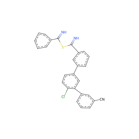 N#Cc1cccc(-c2cc(-c3cccc(C(=N)SC(=N)c4ccccc4)c3)ccc2Cl)c1